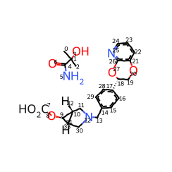 CC(C)(O)C(N)=O.O=C(O)O[C@H]1[C@@H]2CN(Cc3ccc([C@H]4COc5cccnc5O4)cc3)C[C@@H]21